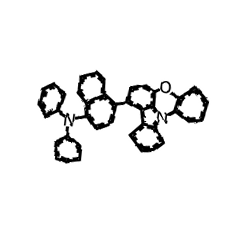 c1ccc(N(c2ccccc2)c2ccc(-c3ccc4c5c3c3ccccc3n5-c3ccccc3O4)c3ccccc23)cc1